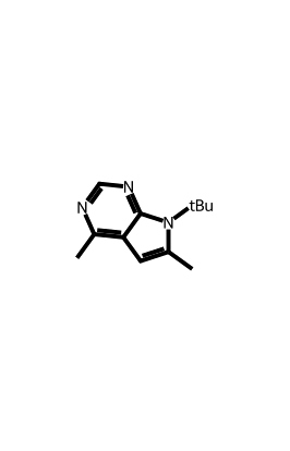 Cc1ncnc2c1cc(C)n2C(C)(C)C